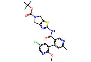 COc1ncc(Cl)cc1-c1cc(C)ncc1C(=O)Nc1nc2c(s1)CN(C(=O)OC(C)(C)C)C2